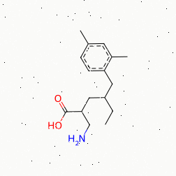 CCC(Cc1ccc(C)cc1C)CC(CN)C(=O)O